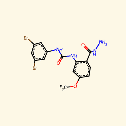 NNC(=O)c1ccc(OC(F)(F)F)cc1NC(=O)Nc1cc(Br)cc(Br)c1